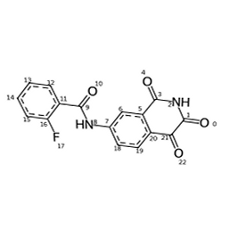 O=C1NC(=O)c2cc(NC(=O)c3ccccc3F)ccc2C1=O